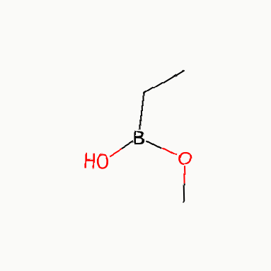 CCB(O)OC